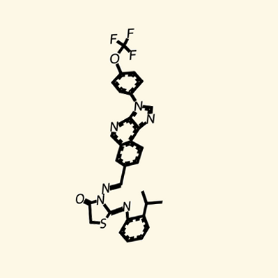 CC(C)c1ccccc1N=C1SCC(=O)N1N=Cc1ccc2c(cnc3c2ncn3-c2ccc(OC(F)(F)F)cc2)c1